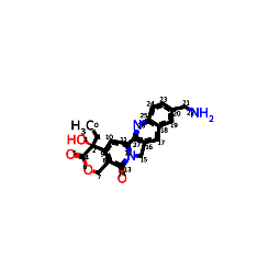 CC[C@@]1(O)C(=O)OCc2c1cc1n(c2=O)Cc2cc3cc(CN)ccc3nc2-1